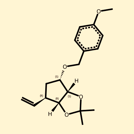 C=C[C@H]1C[C@H](OCc2ccc(OC)cc2)[C@@H]2OC(C)(C)O[C@@H]21